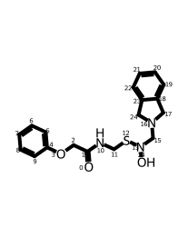 O=C(COc1ccccc1)NCSN(O)CN1Cc2ccccc2C1